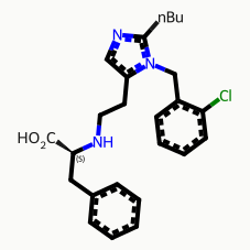 CCCCc1ncc(CCN[C@@H](Cc2ccccc2)C(=O)O)n1Cc1ccccc1Cl